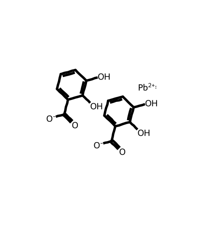 O=C([O-])c1cccc(O)c1O.O=C([O-])c1cccc(O)c1O.[Pb+2]